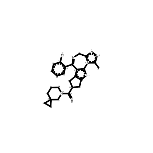 Cc1nnc2n1-c1sc3c(c1C(c1ccccc1Cl)=NC2)CC(C(=O)N1CCCC2(CC2)C1)C3